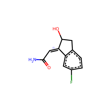 NC(=O)/C=C1\c2cc(F)ccc2CC1O